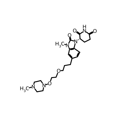 CN1CCN(OCCOCCCc2ccc3c(c2)n(C)c(=O)n3[C@H]2CCC(=O)NC2=O)CC1